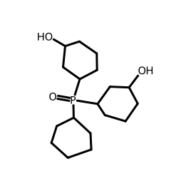 O=P(C1CCCCC1)(C1CCCC(O)C1)C1CCCC(O)C1